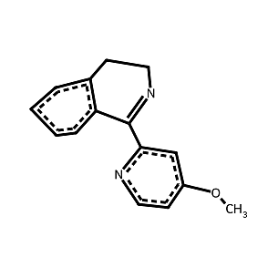 COc1ccnc(C2=NCCc3ccccc32)c1